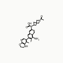 CC(=O)N1CC2(CC(N(C(=O)O)c3cc4cc(-c5cnc6c(c5C)NCCO6)c(F)c(N)c4cn3)C2)C1